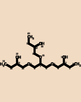 CCC(O)COCC(COCC(O)CC)OCC(O)CC